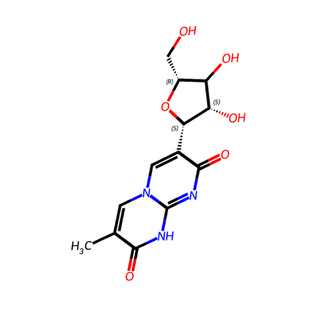 Cc1cn2cc([C@@H]3O[C@H](CO)C(O)[C@@H]3O)c(=O)nc2[nH]c1=O